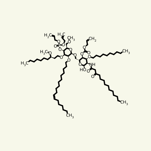 C=CCOC(=O)O[C@H]1[C@H](OCCCCCCCCCC)[C@@H](NC(=O)CC(=O)CCCCCCCCCCC)[C@@H](O)O[C@@H]1CO[C@@H]1O[C@H](COC)[C@@H](OP(=O)(OCC=C)OCC=C)[C@H](OCC[C@@H](CCCCCCC)OC)[C@H]1OCCCCCCCCCC/C=C\CCCCCC